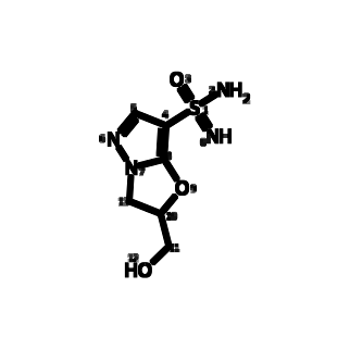 N=S(N)(=O)c1cnn2c1OC(CO)C2